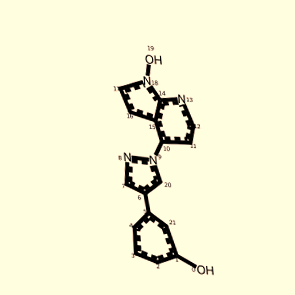 Oc1cccc(-c2cnn(-c3ccnc4c3ccn4O)c2)c1